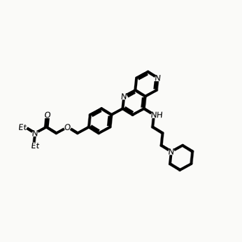 CCN(CC)C(=O)COCc1ccc(-c2cc(NCCCN3CCCCC3)c3cnccc3n2)cc1